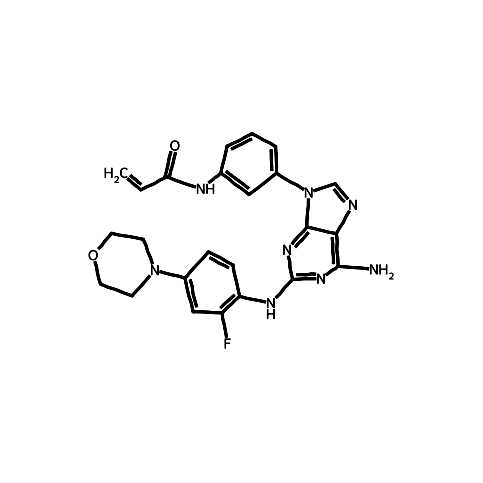 C=CC(=O)Nc1cccc(-n2cnc3c(N)nc(Nc4ccc(N5CCOCC5)cc4F)nc32)c1